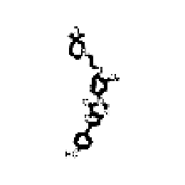 COc1cc(-n2cnc3cc(-c4ccc(O)cc4)sc3c2=O)ccc1OCCN1CCCC2(COC2)C1